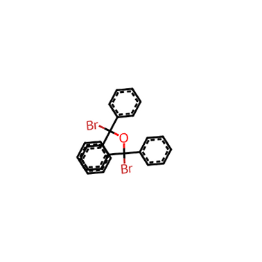 BrC(OC(Br)(c1ccccc1)c1ccccc1)(c1ccccc1)c1ccccc1